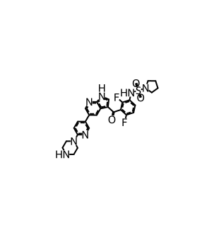 O=C(c1c(F)ccc(NS(=O)(=O)N2CCCC2)c1F)c1c[nH]c2ncc(-c3ccc(N4CCNCC4)nc3)cc12